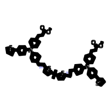 COC(=O)CCc1ccc(N(c2ccc(/C=C/c3ccc(C(C)(C)c4ccc(/C=C/c5ccc(N(c6ccc(CCC(=O)OC)cc6)c6ccc(-c7cccs7)cc6)cc5)s4)s3)cc2)c2ccc(-c3cccs3)cc2)cc1